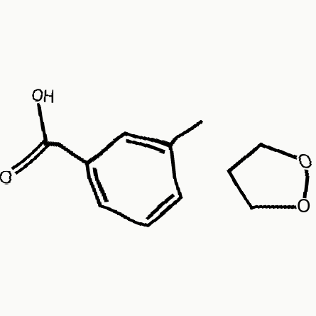 C1COOC1.Cc1cccc(C(=O)O)c1